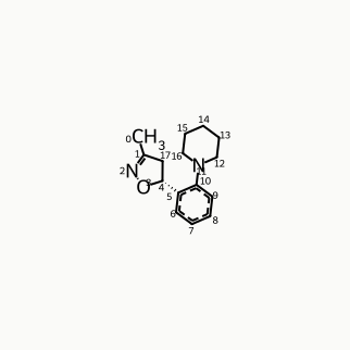 CC1=NO[C@@H](c2ccccc2N2CCCCC2)C1